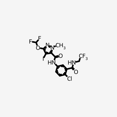 Cn1nc(OC(F)F)c(I)c1C(=O)Nc1ccc(Cl)c(C(=O)NCC(F)(F)F)c1